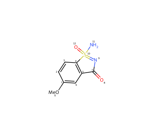 COc1ccc2c(c1)C(=O)N=S2(N)=O